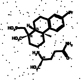 CC(C)c1ccc2c(c1)CC[C@H]1[C@@](CS(=O)(=O)O)(C(=O)O)CCC[C@]21C.NC(=O)CC[C@H](N)C(=O)O